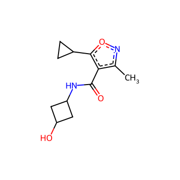 Cc1noc(C2CC2)c1C(=O)NC1CC(O)C1